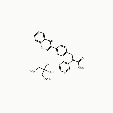 COC(=O)N(Cc1ccc(C(=O)Nc2ccccc2N)cc1)c1cccnc1.O=C(O)CC(O)(CC(=O)O)C(=O)O